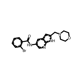 O=C(Nc1cnc2[nH]c(CN3CCOCC3)cc2c1)c1ccccc1Br